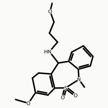 COCCCNC1C2=C(C=C(OC)CC2)S(=O)(=O)N(C)c2ccccc21